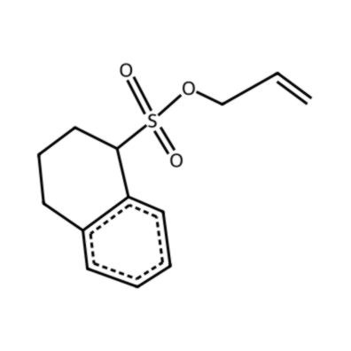 C=CCOS(=O)(=O)C1CCCc2ccccc21